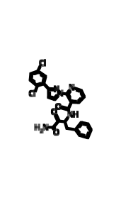 NC(=O)C(=O)C(Cc1ccccc1)NC(=O)c1cccnc1-n1ccc(-c2cc(Cl)ccc2Cl)n1